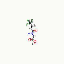 COC(=O)CNC(=O)/C=C(\C)C(F)(F)F